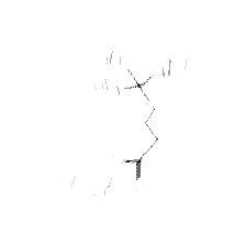 CCCC(CCC)(CCC)CCCC(=O)O[SiH3]